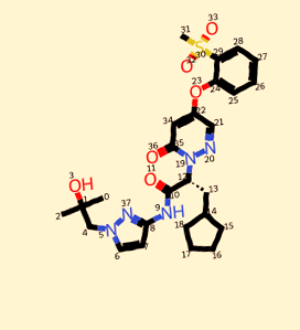 CC(C)(O)Cn1ccc(NC(=O)[C@@H](CC2CCCC2)n2ncc(Oc3ccccc3S(C)(=O)=O)cc2=O)n1